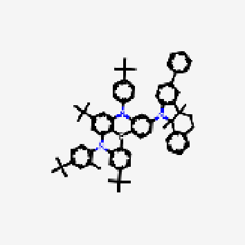 Cc1cc(C(C)(C)C)ccc1N1c2cc(C(C)(C)C)ccc2B2c3ccc(N4c5ccc(-c6ccccc6)cc5C5(C)CCc6ccccc6C45C)cc3N(c3ccc(C(C)(C)C)cc3)c3cc(C(C)(C)C)cc1c32